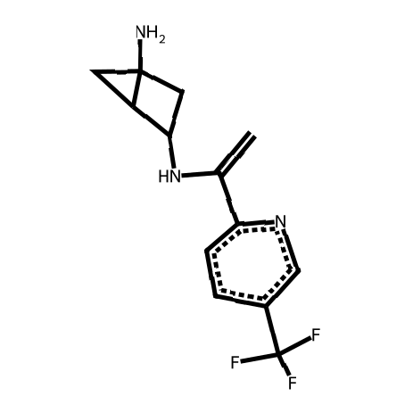 C=C(NC1CC2(N)CC12)c1ccc(C(F)(F)F)cn1